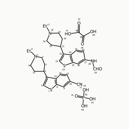 CCN1CCC(c2csc3cc(C#N)ccc23)CC1.CCN1CCC(c2csc3cc(NC=O)ccc23)CC1.O=C(O)C(=O)O.O=P(O)(O)O